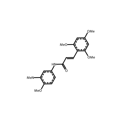 CNc1cc(NC(=O)C=Cc2c(OC)cc(OC)cc2OC)ccc1OC